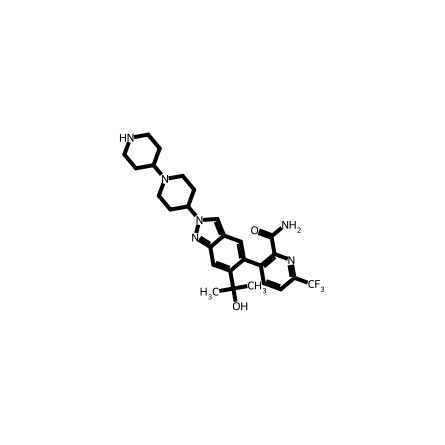 CC(C)(O)c1cc2nn(C3CCN(C4CCNCC4)CC3)cc2cc1-c1ccc(C(F)(F)F)nc1C(N)=O